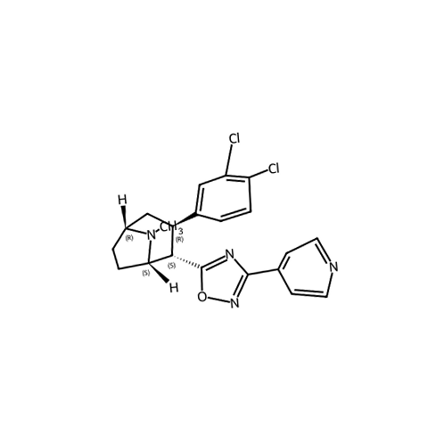 CN1[C@@H]2CC[C@H]1[C@@H](c1nc(-c3ccncc3)no1)[C@H](c1ccc(Cl)c(Cl)c1)C2